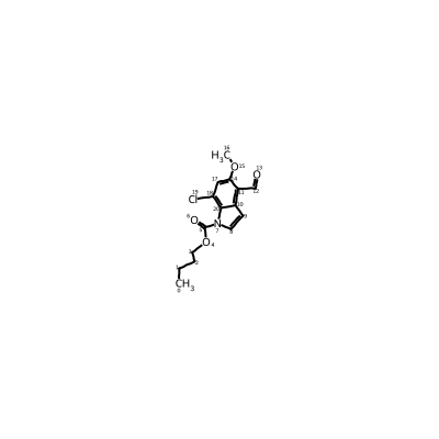 CCCCOC(=O)n1ccc2c(C=O)c(OC)cc(Cl)c21